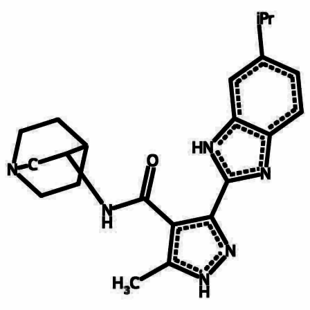 Cc1[nH]nc(-c2nc3ccc(C(C)C)cc3[nH]2)c1C(=O)NC1CN2CCC1CC2